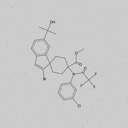 COC(=O)C1(N(C(=O)C(F)(F)F)c2cccc(Cl)c2)CCC2(CC1)C(Br)=Cc1ccc(C(C)(C)O)cc12